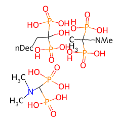 CCCCCCCCCCCC(O)(P(=O)(O)O)P(=O)(O)O.CN(C)C(P(=O)(O)O)P(=O)(O)O.CNC(C)(P(=O)(O)O)P(=O)(O)O